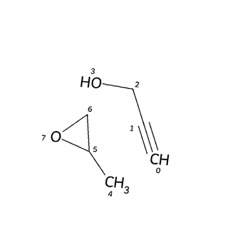 C#CCO.CC1CO1